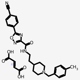 Cc1ccc(CN2CCC(CCNC(=O)c3noc(-c4ccc(C#N)cc4)n3)CC2)cc1.O=C(O)/C=C/C(=O)O